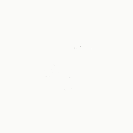 CC(C)(C)OC(=O)NCCCOc1cc(Nc2ccccc2)cc2c1[nH]c1ccc(Cl)cc12